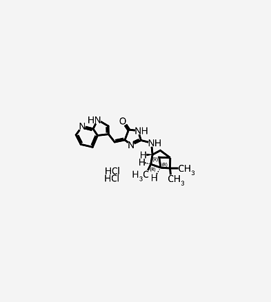 C[C@@H]1[C@H]2CC(C[C@H]1NC1=NC(=Cc3c[nH]c4ncccc34)C(=O)N1)C2(C)C.Cl.Cl